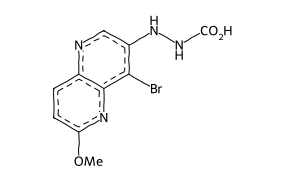 COc1ccc2ncc(NNC(=O)O)c(Br)c2n1